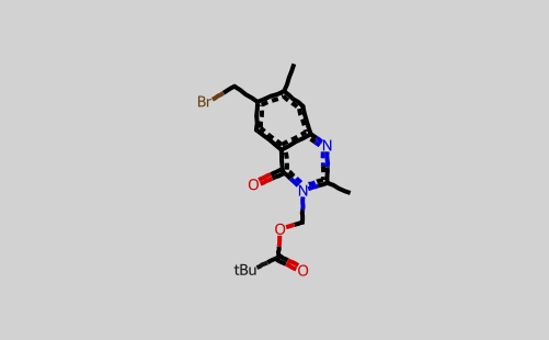 Cc1cc2nc(C)n(COC(=O)C(C)(C)C)c(=O)c2cc1CBr